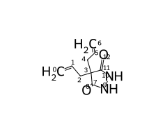 C=CCC1(CC=C)C(=O)NNC1=O